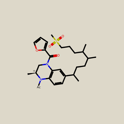 CC(=O)N1c2ccc(C(C)CCC(C)C(C)CCCS(C)(=O)=O)cc2N(C(=O)c2ccco2)C[C@@H]1C